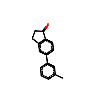 Cc1cccc(-c2ccc3c(c2)CCC3=O)c1